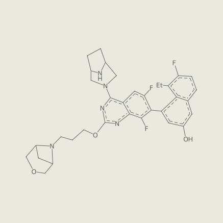 CCc1c(F)ccc2cc(O)cc(-c3c(F)cc4c(N5CC6CCC(C5)N6)nc(OCCCN5C6COCC5C6)nc4c3F)c12